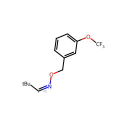 CC(C)(C)/[C]=N\OCc1cccc(OC(F)(F)F)c1